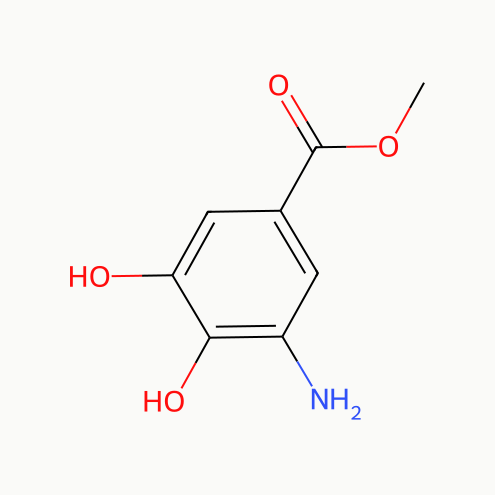 COC(=O)c1cc(N)c(O)c(O)c1